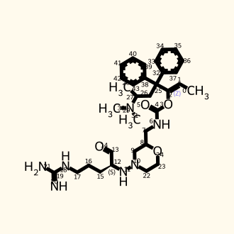 C/C=C(\OC(=O)NCC1CN(N[C@H](C=O)CCCNC(=N)N)CCO1)C(CC(C)N(C)C)(c1ccccc1)c1ccccc1